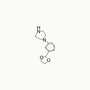 c1cc(C2OCCO2)cc(N2CCNCC2)c1